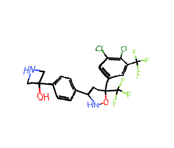 OC1(c2ccc(C3CC(c4cc(Cl)c(Cl)c(C(F)(F)F)c4)(C(F)(F)F)ON3)cc2)CNC1